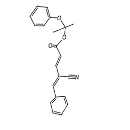 CC(C)(OC(=O)C=CC(C#N)=Cc1ccccc1)Oc1ccccc1